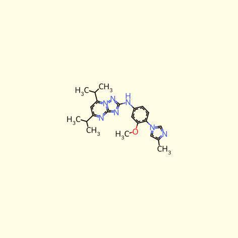 COc1cc(Nc2nc3nc(C(C)C)cc(C(C)C)n3n2)ccc1-n1cnc(C)c1